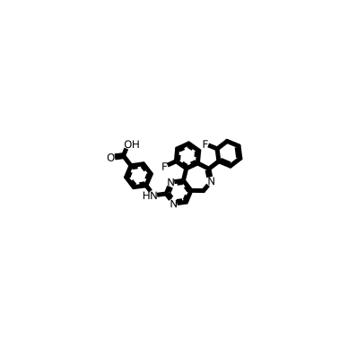 O=C(O)c1ccc(Nc2ncc3c(n2)-c2c(F)cccc2C(C2=CC=CCC2F)=NC3)cc1